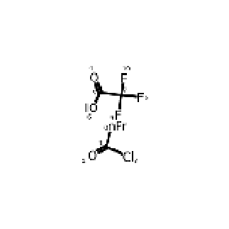 CCCC(=O)Cl.O=C(O)C(F)(F)F